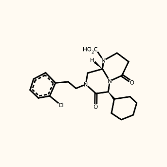 O=C1[C@H](C2CCCCC2)N2C(=O)CCN(C(=O)O)[C@H]2CN1CCc1ccccc1Cl